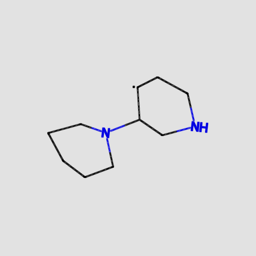 [CH]1CCNCC1N1CCCCC1